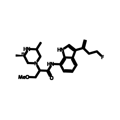 C=C(CCF)c1c[nH]c2c(NC(=O)C(COC)N3CC(C)N[C@H](C)C3)cccc12